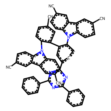 N#Cc1ccc(-n2c3ccc(C#N)cc3c3cc(C#N)ccc32)c(-c2cc(-c3nc(-c4ccccc4)nc(-c4ccccc4)n3)ccc2-n2c3ccc(C#N)cc3c3cc(C#N)ccc32)c1